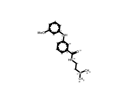 COc1cccc(Nc2cccc(C(=O)NCCN(C)C)c2)c1